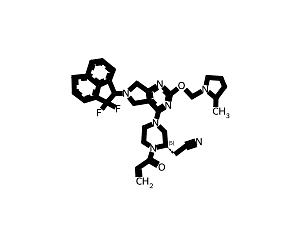 C=CC(=O)N1CCN(c2nc(OCN3CCCC3C)nc3c2CN(C2c4cccc5cccc(c45)C2(F)F)C3)C[C@@H]1CC#N